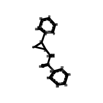 O=C(NC1CC1c1ccccn1)c1ccccc1